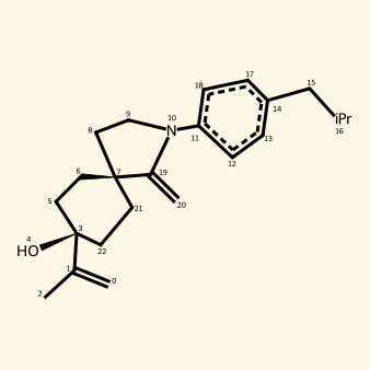 C=C(C)[C@]1(O)CC[C@]2(CCN(c3ccc(CC(C)C)cc3)C2=C)CC1